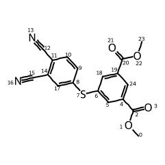 COC(=O)c1cc(Sc2ccc(C#N)c(C#N)c2)cc(C(=O)OC)c1